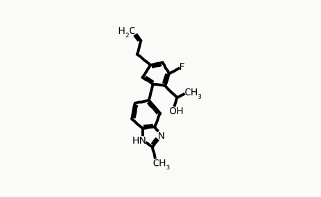 C=CCc1cc(F)c(C(C)O)c(-c2ccc3[nH]c(C)nc3c2)c1